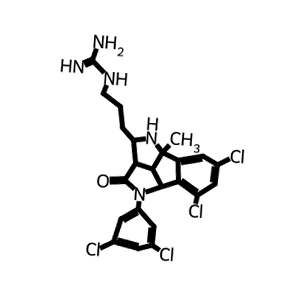 CC12NC(CCCNC(=N)N)C3C(=O)N(c4cc(Cl)cc(Cl)c4)C(c4c(Cl)cc(Cl)cc41)C32